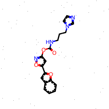 O=C(NCCCn1ccnc1)Oc1cc(-c2cc3ccccc3o2)on1